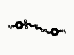 Nc1ccc(SOOCCNCCS(=O)(=O)c2ccc(N)cc2)cc1